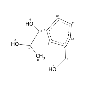 CC(O)CO.OCc1ccccc1